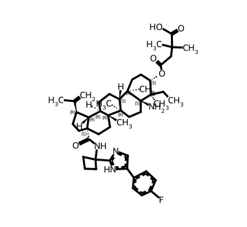 C=C(C)[C@@H]1CC[C@]2(C(=O)NC3(c4ncc(-c5ccc(F)cc5)[nH]4)CCC3)CC[C@]3(C)[C@H](CC[C@@H]4[C@@]5(C)CC[C@H](OC(=O)CC(C)(C)C(=O)O)[C@@](C)(CC)[C@]5(N)CC[C@]43C)[C@@H]12